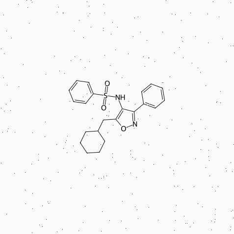 O=S(=O)(Nc1c(-c2ccccc2)noc1CC1CCCCC1)c1ccccc1